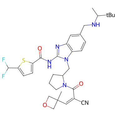 CC(NCc1ccc2c(c1)nc(NC(=O)c1ccc(C(F)F)s1)n2CC1CCCN1C(=O)C(C#N)=CC1(C)COC1)C(C)(C)C